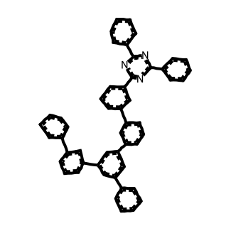 c1ccc(-c2cccc(-c3cc(-c4ccccc4)cc(-c4cccc(-c5cccc(-c6nc(-c7ccccc7)nc(-c7ccccc7)n6)c5)c4)c3)c2)cc1